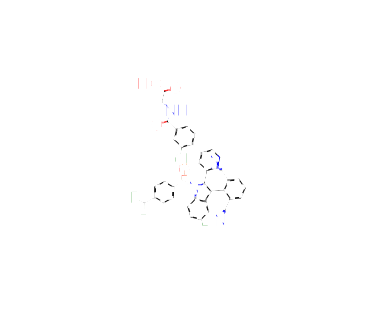 N#Cc1cccc(C#N)c1-c1c(-c2cccc(-c3ccc(C(=O)NCC(=O)O)cc3Cl)c2)n([S+]([O-])c2ccc(C(F)F)cc2)c2ccc(F)cc12